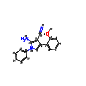 COc1ccccc1-c1cn(-c2ccccc2)c(N)c1C#N